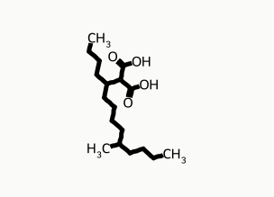 CCCCC(C)CCCCC(CCCC)C(C(=O)O)C(=O)O